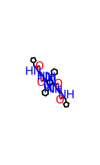 O=C(CC1CCCC1)NCCNC(=O)c1nc(NC2CCCCC2)c(C(=O)NCCNC(=O)CC2CCCC2)nc1NC1CCCCC1